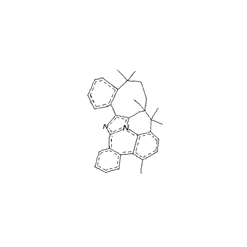 Cc1ccc2c3c1c1ccccc1c1nc4c(n13)C(C)(CCC(C)(C)c1ccccc1-4)C2(C)C